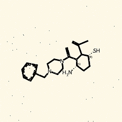 C=C(C)C1C(C(=C)N2CCN(Cc3ccccc3)CC2)[C@@H](N)CC[C@H]1S